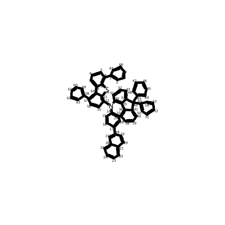 c1ccc(-c2cccc3c2sc2c(N(c4ccc(-c5ccc6ccccc6c5)cc4)c4cccc5c4-c4ccccc4C5(c4ccccc4)c4ccccc4)ccc(-c4ccccc4)c23)cc1